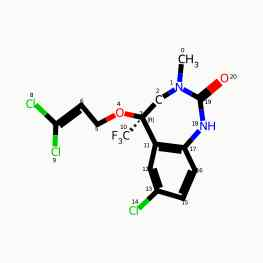 CN1C[C@@](OCC=C(Cl)Cl)(C(F)(F)F)c2cc(Cl)ccc2NC1=O